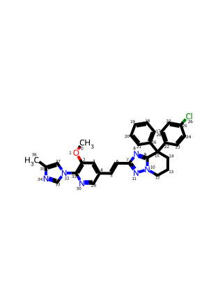 COc1cc(/C=C/c2nc3n(n2)CCCC3(c2ccccc2)c2ccc(Cl)cc2)cnc1-n1cnc(C)c1